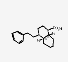 O=C(O)N1CCN(CCc2ccccc2)[C@H]2CCCC[C@H]21